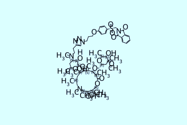 CC[C@H]1OC(=O)[C@H](C)[C@@H](OC[C@H]2C[C@@](C)(OC)[C@@H](O)[C@H](C)O2)[C@H](C)[C@@H](O[C@@H]2O[C@H](C)C[C@H](N(C)CCc3cn(CCCOc4ccc(S(=O)(=O)CN5C(=O)c6ccccc6C5=O)cc4)nn3)[C@H]2O)[C@](C)(O)C[C@@H](C)CN(C)[C@H](C)[C@@H](O)[C@]1(C)O